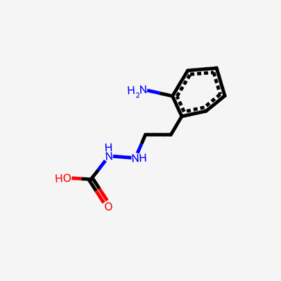 Nc1ccccc1CCNNC(=O)O